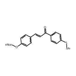 CCCCCCCCCOc1ccc(C=CC(=O)c2ccc(SCCC)cc2)cc1